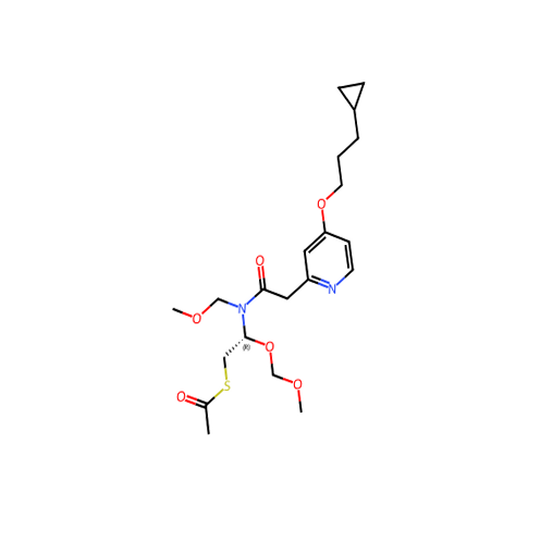 COCO[C@H](CSC(C)=O)N(COC)C(=O)Cc1cc(OCCCC2CC2)ccn1